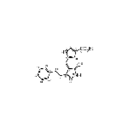 CCOC(=O)c1c[nH]c(C=C2C(=O)NN=C2CCc2ccccc2)c1